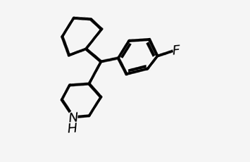 Fc1ccc(C(C2CCCCC2)C2CCNCC2)cc1